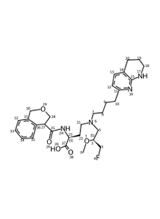 CO[C@H](CF)CN(CCCCc1ccc2c(n1)NCCC2)CC[C@H](NC(=O)C1COCc2ccccc21)C(=O)O